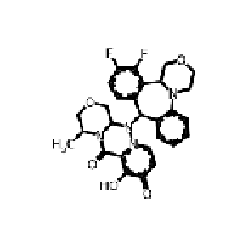 CC1COCC2N1C(=O)c1c(O)c(=O)ccn1N2C1c2ccccc2N2CCOCC2c2c1ccc(F)c2F